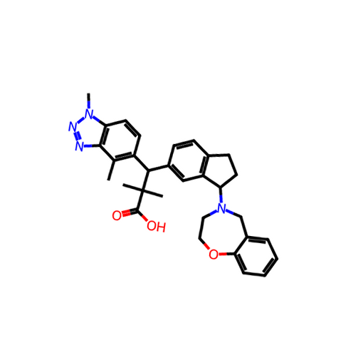 Cc1c(C(c2ccc3c(c2)C(N2CCOc4ccccc4C2)CC3)C(C)(C)C(=O)O)ccc2c1nnn2C